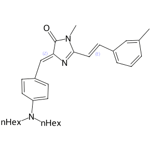 CCCCCCN(CCCCCC)c1ccc(/C=C2N=C(/C=C/c3cccc(C)c3)N(C)C\2=O)cc1